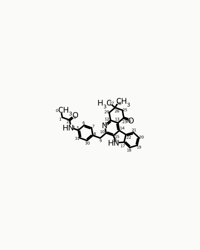 CCC(=O)Nc1ccc(Cc2nc3c(c4c2[nH]c2ccccc24)C(=O)CC(C)(C)C3)cc1